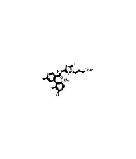 COCCCn1nc(NC(=O)c2cnc(C)cc2-c2c(OC)ccc(Cl)c2F)sc1=O